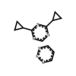 c1cnnnc1.c1nc(C2CC2)nc(C2CC2)n1